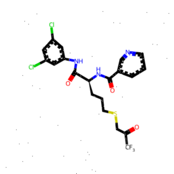 O=C(N[C@@H](CCCSCC(=O)C(F)(F)F)C(=O)Nc1cc(Cl)cc(Cl)c1)c1cccnc1